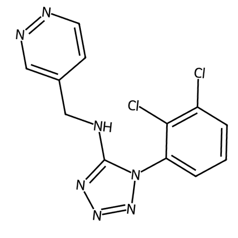 Clc1cccc(-n2nnnc2NCc2ccnnc2)c1Cl